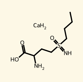 CCCCS(=N)(=O)CCC(N)C(=O)O.[CaH2]